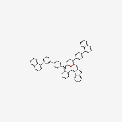 c1cc(-c2ccc(N(c3ccc(-c4ccc(-c5cccc6ccccc56)cc4)cc3)c3ccccc3-c3cccc4sc5ccccc5c34)cc2)cc(-c2cccc3ccccc23)c1